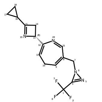 FC(F)(F)C1=NN1CC1=CCC=C([C@H]2CC(C3CC3)=N2)N=C1